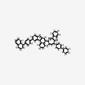 CC1=C=C(c2ccc(-c3ccccc3)cc2)c2sc3ccccc3c2N=C1c1cc2sc3ccc(-c4ccc(-c5cccc6ccccc56)cc4)cc3c2c2ccccc12